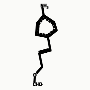 Nc1ccc(C=CCO[C]=O)cc1